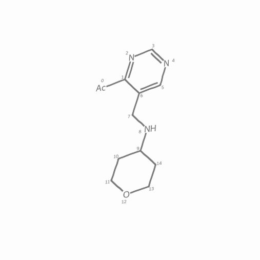 CC(=O)c1ncncc1CNC1CCOCC1